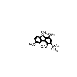 CC(=O)Oc1ccc2c(c1)c1c(OC(C)=O)c(N(C)C(C)=O)cc(OC(C)=O)c1n2C